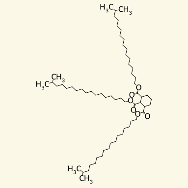 CC(C)CCCCCCCCCCCCCCCOC(=O)C1CCCC(C(=O)OCCCCCCCCCCCCCCCC(C)C)C1C(=O)OCCCCCCCCCCCCCCCC(C)C